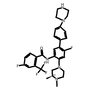 C[C@H]1CN(c2cc(F)c(-c3ccc(N4CCNCC4)cc3)cc2NC(=O)c2ccc(F)cc2C(F)(F)F)CCN1C